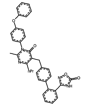 CCCc1nc(C)n(-c2ccc(Oc3ccccc3)cc2)c(=O)c1Cc1ccc(-c2ccccc2-c2noc(=O)[nH]2)cc1